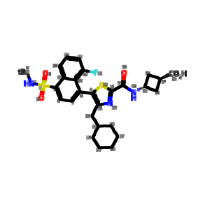 CC(C)(C)NS(=O)(=O)c1ccc(-c2sc(C(=O)N[C@H]3C[C@H](C(=O)O)C3)nc2CC2CCCCC2)c2c(F)cccc12